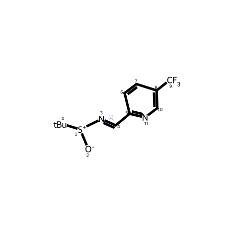 CC(C)(C)[S+]([O-])/N=C/c1ccc(C(F)(F)F)cn1